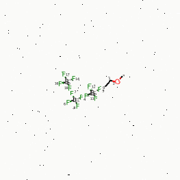 CCOC.F[B-](F)(F)F.F[B-](F)(F)F.F[B-](F)(F)F